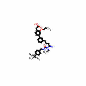 CCCOc1cc(-c2cccc(CCCC(=N)N(CC)C(=O)NCc3ccc(C(C)(C)C)cc3)c2)ccc1CC(=O)O